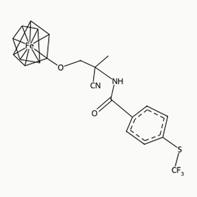 CC(C#N)(CO[C]12[CH]3[CH]4[CH]5[CH]1[Fe]45321678[CH]2[CH]1[CH]6[CH]7[CH]28)NC(=O)c1ccc(SC(F)(F)F)cc1